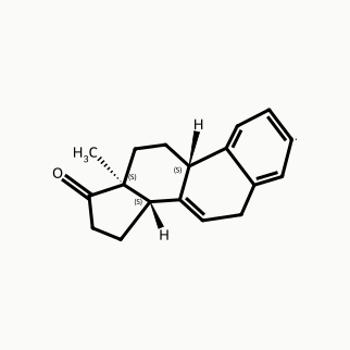 C[C@]12CC[C@H]3C(=CCc4c[c]ccc43)[C@@H]1CCC2=O